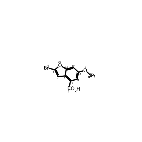 CC(C)Oc1cc(C(=O)O)c2cc(Br)oc2c1